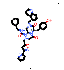 O=C1[C@H](Cc2ccc(O)cc2)N2C(=O)CN(Cc3cc(-c4ccccn4)no3)N(C(=O)NCc3ccccc3)C2CN1Cc1cccc2ncccc12